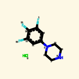 Cl.Fc1cc(N2CCNCC2)cc(F)c1F